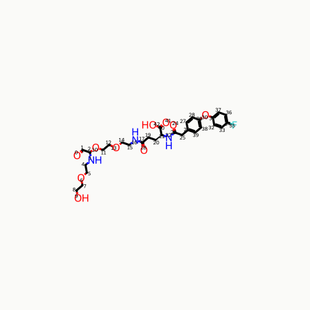 O=CC(NCCOCCO)OCCOCCNC(=O)CC[C@H](NC(=O)Cc1ccc(Oc2ccc(F)cc2)cc1)C(=O)O